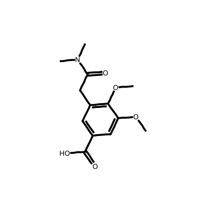 COc1cc(C(=O)O)cc(CC(=O)N(C)C)c1OC